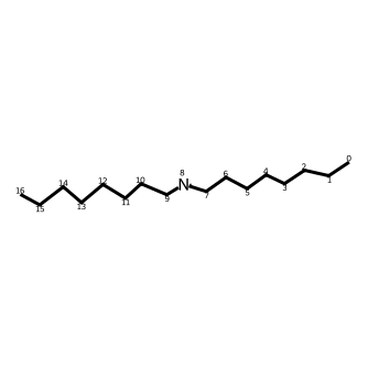 CCCCCCCC[N]CCCCCCCC